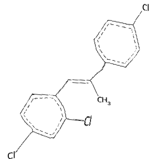 C/C(=C\c1ccc(Cl)cc1Cl)c1ccc(Cl)cc1